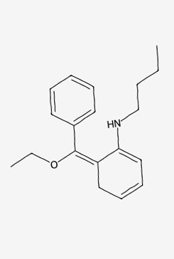 CCCCNC1=CC=CCC1=C(OCC)c1ccccc1